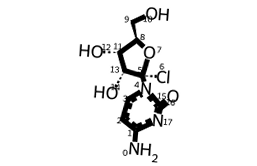 Nc1ccn([C@]2(Cl)O[C@H](CO)[C@@H](O)[C@H]2O)c(=O)n1